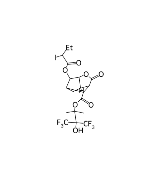 CCC(I)C(=O)OC1C2C[C@H]3C1OC(=O)C3C2C(=O)OC(C)(C)C(O)(C(F)(F)F)C(F)(F)F